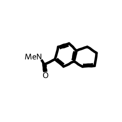 CNC(=O)c1ccc2c(c1)C=CCC2